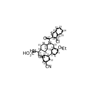 CCOc1ccc(-c2cccc(C#N)c2)cc1CN(C(=O)c1sc2ccccc2c1Cl)C1CCC(C(NC(=O)O)C(C)(C)C)CC1